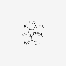 [CH2-][NH+]1C(C(C)C)=C(Br)C(Br)=C1C(C)C